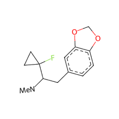 CNC(Cc1ccc2c(c1)OCO2)C1(F)CC1